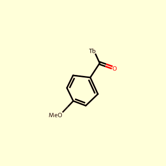 COc1ccc([C](=O)[Tb])cc1